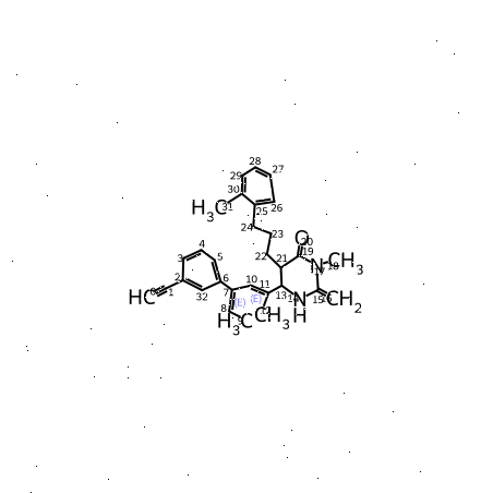 C#Cc1cccc(C(=C/C)/C=C(\C)C2NC(=C)N(C)C(=O)C2CCCc2ccccc2C)c1